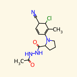 CC(=O)NNC(=O)C1CCCN1C1=C(C)C(Cl)C(C#N)C=C1